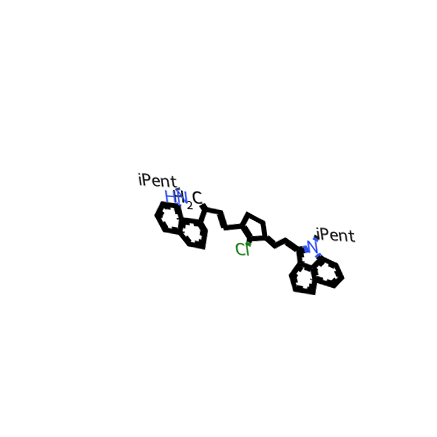 C=C(/C=C/C1=C(Cl)C(=C/C=c2\c3cccc4cccc(c43)n2C(C)CCC)/CC1)c1cccc2cccc(NC(C)CCC)c12